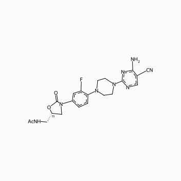 CC(=O)NC[C@H]1CN(c2ccc(N3CCN(c4ncc(C#N)c(N)n4)CC3)c(F)c2)C(=O)O1